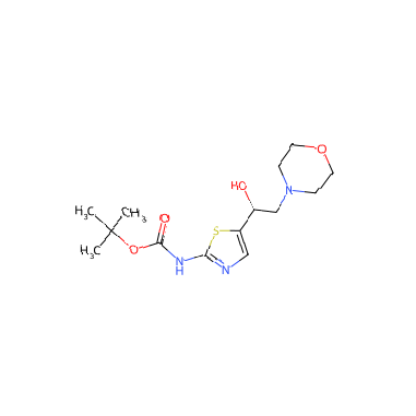 CC(C)(C)OC(=O)Nc1ncc(C(O)CN2CCOCC2)s1